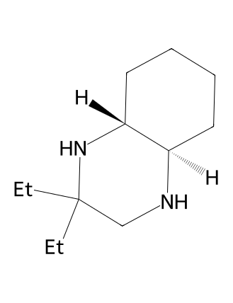 CCC1(CC)CN[C@@H]2CCCC[C@H]2N1